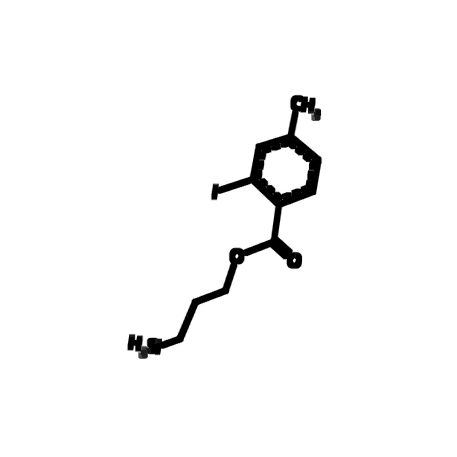 Cc1ccc(C(=O)OCCC[SiH3])c(I)c1